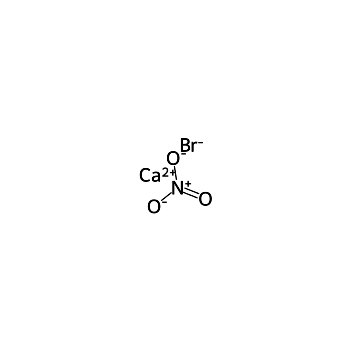 O=[N+]([O-])[O-].[Br-].[Ca+2]